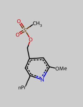 CCCc1cc(COS(C)(=O)=O)cc(OC)n1